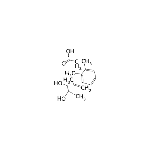 C=CC.CC(=O)O.CC(O)CO.Cc1ccccc1C